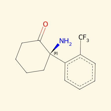 N[C@@]1(c2ccccc2C(F)(F)F)CCCCC1=O